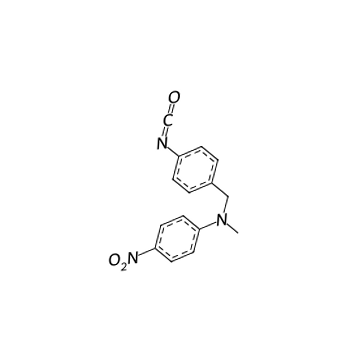 CN(Cc1ccc(N=C=O)cc1)c1ccc([N+](=O)[O-])cc1